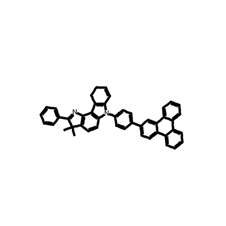 CC1(C)C(c2ccccc2)=Nc2c1ccc1c2c2c(n1-c1ccc(-c3ccc4c5ccccc5c5ccccc5c4c3)cc1)C=CCC2